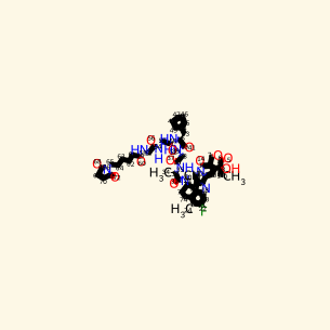 CC[C@@]1(O)C(=O)OCc2c1cc1n(c2=O)Cc2c-1nc1cc(F)c(C)c3c1c2[C@@H](N(C)C(=O)[C@H](C)NC(=O)CNC(=O)[C@H](Cc1ccccc1)NC(=O)CNC(=O)CNC(=O)CCCCCN1C(=O)C=CC1=O)CC3